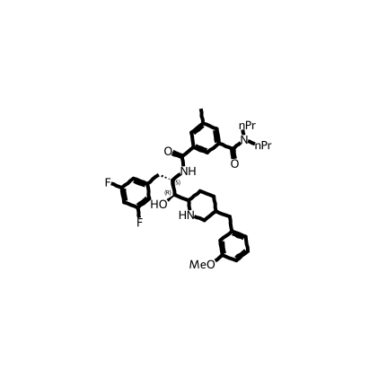 CCCN(CCC)C(=O)c1cc(C)cc(C(=O)N[C@@H](Cc2cc(F)cc(F)c2)[C@H](O)C2CCC(Cc3cccc(OC)c3)CN2)c1